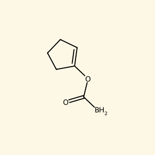 BC(=O)OC1=CCCC1